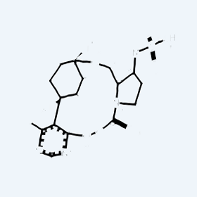 Cc1ncnc2c1[C@H]1CC[C@H](CC1)OCC1C(NS(C)(=O)=O)CCN1C(=O)CO2